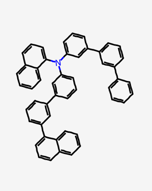 c1ccc(-c2cccc(-c3cccc(N(c4cccc(-c5cccc(-c6cccc7ccccc67)c5)c4)c4cccc5ccccc45)c3)c2)cc1